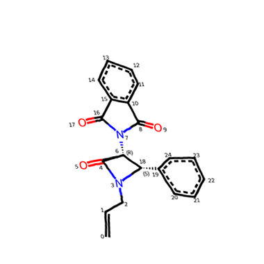 C=CCN1C(=O)[C@H](N2C(=O)c3ccccc3C2=O)[C@@H]1c1ccccc1